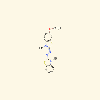 CCn1c(=NN=c2sc3cc(OS(=O)(=O)O)ccc3n2CC)sc2ccccc21